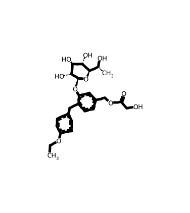 CCOc1ccc(Cc2ccc(COC(=O)CO)cc2O[C@@H]2O[C@H]([C@@H](C)O)[C@@H](O)[C@H](O)[C@H]2O)cc1